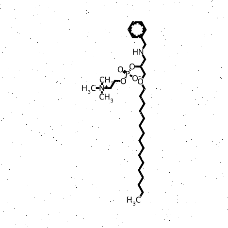 CCCCCCCCCCCCCCCCOCC(CNCc1ccccc1)OP(=O)([O-])OCC[N+](C)(C)C